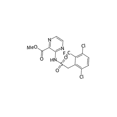 COC(=O)c1nccnc1NS(=O)(=O)Cc1c(Cl)ccc(Cl)c1C(F)(F)F